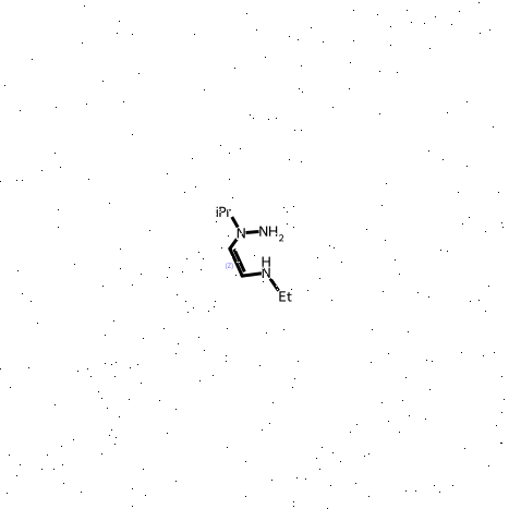 CCN/C=C\N(N)C(C)C